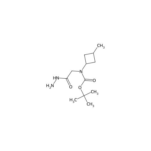 CC1CC(N(CC(=O)NN)C(=O)OC(C)(C)C)C1